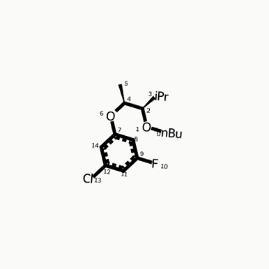 CCCCO[C@H](C(C)C)[C@H](C)Oc1cc(F)cc(Cl)c1